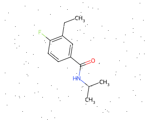 CCc1cc(C(=O)NC(C)C)ccc1F